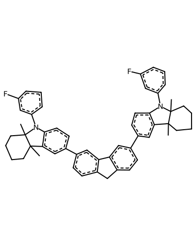 CC12CCCCC1(C)N(c1cccc(F)c1)c1ccc(-c3ccc4c(c3)-c3cc(-c5ccc6c(c5)C5(C)CCCCC5(C)N6c5cccc(F)c5)ccc3C4)cc12